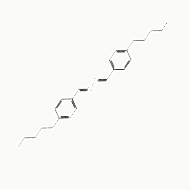 CCCCCc1ccc(C=NN=Cc2ccc(CCCCC)cc2)cc1